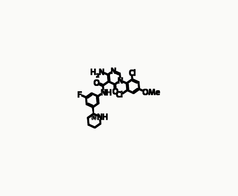 COc1cc(Cl)c(-n2cnc(N)c(C(=O)Nc3cc(F)cc([C@@H]4CCCCN4)c3)c2=O)c(Cl)c1